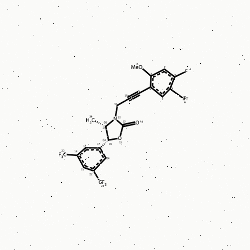 COc1cc(F)c(C(C)C)cc1C#CCN1C(=O)O[C@H](c2cc(C(F)(F)F)cc(C(F)(F)F)c2)[C@@H]1C